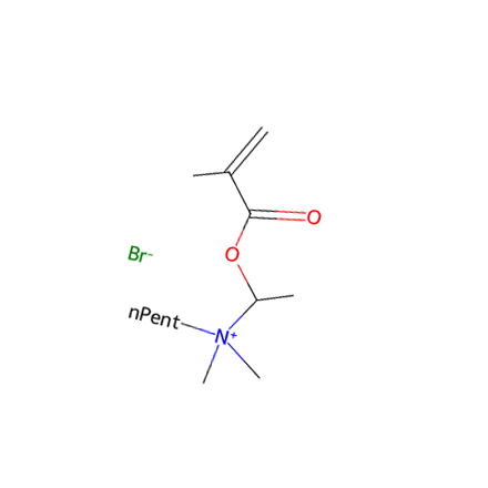 C=C(C)C(=O)OC(C)[N+](C)(C)CCCCC.[Br-]